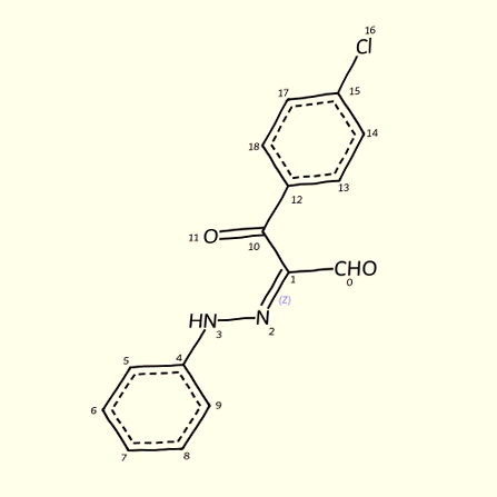 O=C/C(=N/Nc1ccccc1)C(=O)c1ccc(Cl)cc1